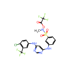 CN(OC(=O)C(F)(F)F)S(=O)(=O)c1cccc(Nc2cc(Nc3ccc(Cl)c(C(F)(F)F)c3)ncn2)c1